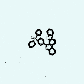 O=P(c1ccccc1)(c1ccccc1)c1ccc(-c2nc3ccccc3c3ccc4c5ccccc5oc4c23)cc1